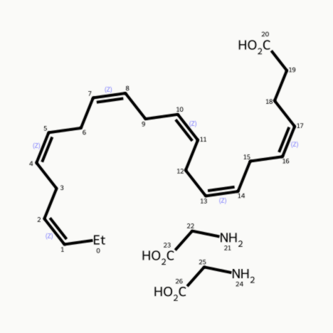 CC/C=C\C/C=C\C/C=C\C/C=C\C/C=C\C/C=C\CCC(=O)O.NCC(=O)O.NCC(=O)O